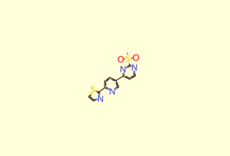 CS(=O)(=O)c1nccc(-c2ccc(-c3nccs3)nc2)n1